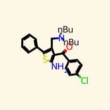 CCCCN(CCCC)Cc1c(-c2ccccc2)sc(N)c1C(=O)c1ccc(Cl)cc1